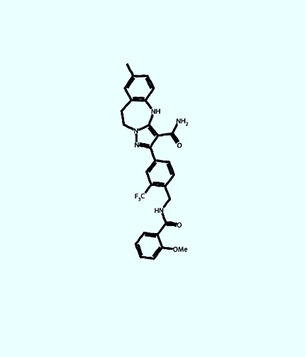 COc1ccccc1C(=O)NCc1ccc(-c2nn3c(c2C(N)=O)Nc2ccc(C)cc2CC3)cc1C(F)(F)F